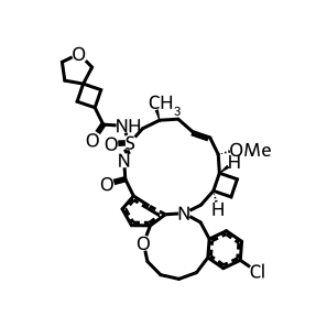 CO[C@H]1/C=C/C[C@H](C)CS(=O)(NC(=O)C2CC3(CCOC3)C2)=NC(=O)c2ccc3c(c2)N(Cc2ccc(Cl)cc2CCCCO3)C[C@@H]2CC[C@H]21